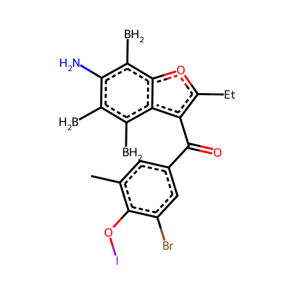 Bc1c(N)c(B)c2oc(CC)c(C(=O)c3cc(C)c(OI)c(Br)c3)c2c1B